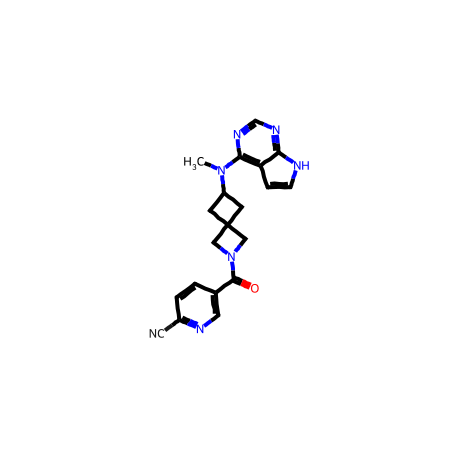 CN(c1ncnc2[nH]ccc12)C1CC2(C1)CN(C(=O)c1ccc(C#N)nc1)C2